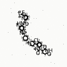 Cn1c(=O)n(C2CCC(=O)NC2=O)c2ccc(Cl)c(C3CCN(C[C@H]4CC[C@H](c5nc6cc(F)c(NC(=O)c7cccc(C(F)(F)F)n7)cc6s5)CC4)CC3)c21